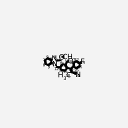 COCc1nc2ccccc2n1Cc1ccc2c(c1)COc1cc(F)ccc1C2=C(C)C#N